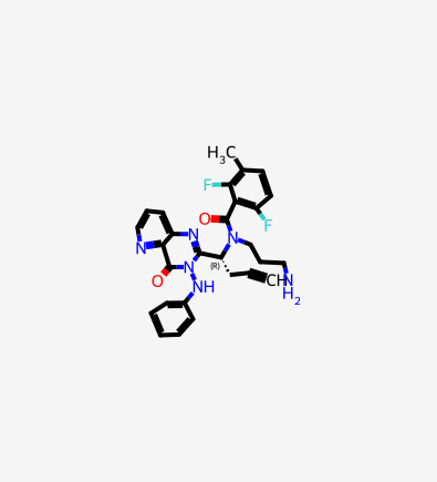 C#CC[C@H](c1nc2cccnc2c(=O)n1Nc1ccccc1)N(CCCN)C(=O)c1c(F)ccc(C)c1F